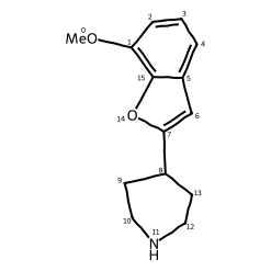 COc1cccc2cc(C3CCNCC3)oc12